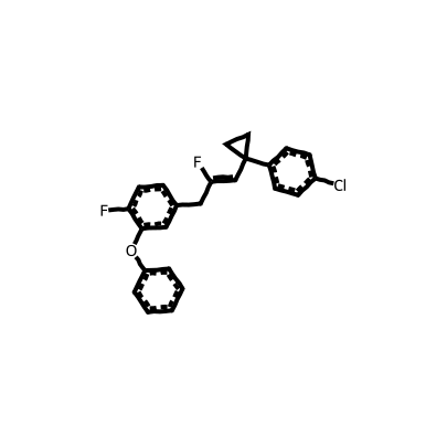 FC(=CC1(c2ccc(Cl)cc2)CC1)Cc1ccc(F)c(Oc2ccccc2)c1